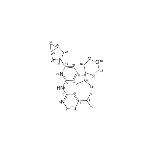 CC(C)c1ccnc(Nc2cc(C3(C(C)C)CCOCC3)cc(N3CC4CC4C3)n2)c1